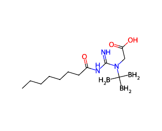 BC(B)(B)N(CC(=O)O)C(=N)NC(=O)CCCCCCC